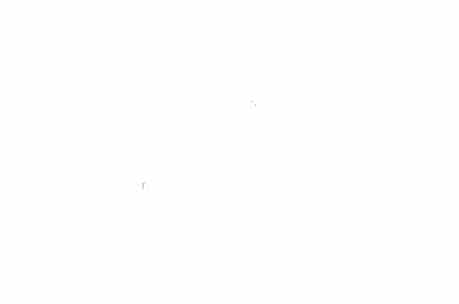 COc1ccc(Cl)cc1C(=O)NC(C)c1sc(S(=O)(=O)NC(N)=O)cc1C